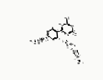 Clc1nc(Cl)nc(-c2ccccc2)n1.N.N.N.N.N.N.N.N.N.N.N